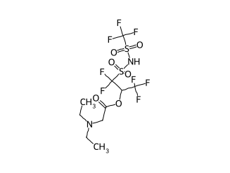 CCN(CC)CC(=O)OC(C(F)(F)F)C(F)(F)S(=O)(=O)NS(=O)(=O)C(F)(F)F